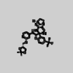 CC1(C)OC[C@@H](COc2cc(NC(=O)C3(c4cccc(C(F)(F)F)c4)NC=C4C(=N[C@H]5CCN4C5)N3)ccn2)O1